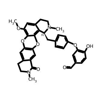 COc1cc2c(c3c1Oc1cc4c(cc1O3)C(=O)N(C)CC4)[C@H](Cc1ccc(Oc3cc(C=O)ccc3O)cc1)N(C)CC2